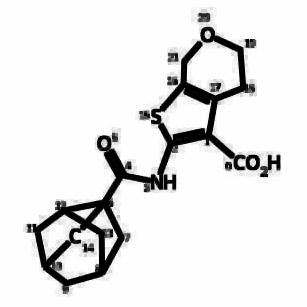 O=C(O)c1c(NC(=O)C23CC4CC(CC2C4)C3)sc2c1CCOC2